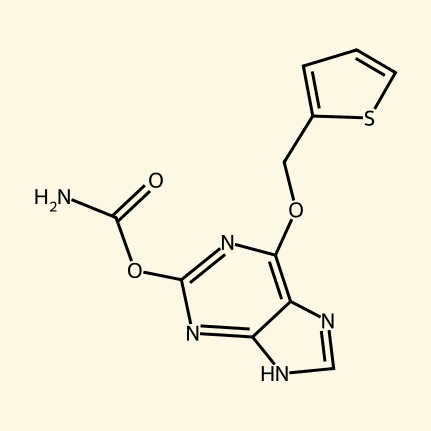 NC(=O)Oc1nc(OCc2cccs2)c2nc[nH]c2n1